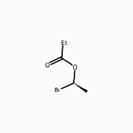 CCC(=O)O[C@@H](C)Br